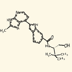 Cc1nc2c(-c3cc4ccc(C(=O)N[C@H](CO)C(C)(C)C)cc4[nH]3)ccnc2[nH]1